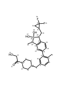 Cc1ccc(CN2CCN(C(=O)CO)CC2)cc1-c1ccc2c(n1)N(C)S(O)(O)N2CC1CC1(F)F